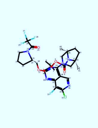 CC(C)(C)OC(=O)N1[C@@H]2CC[C@H]1CN(c1nc(OC[C@@H]3CCCN3C(=O)C(F)(F)F)nc3c(F)c(Cl)ncc13)C2